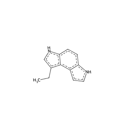 CCc1c[nH]c2ccc3[nH]ccc3c12